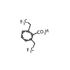 O=C(O)c1c(CC(F)(F)F)cccc1CC(F)(F)F